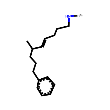 CCCNCCCC=CC(C)CCCc1ccccc1